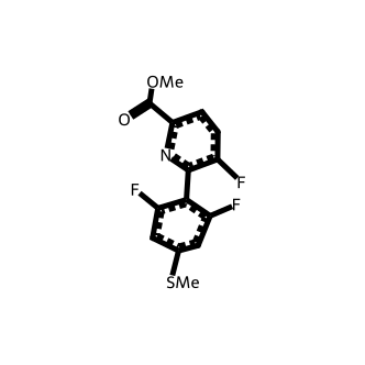 COC(=O)c1ccc(F)c(-c2c(F)cc(SC)cc2F)n1